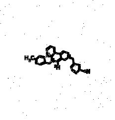 [2H]C1=C2CN(Cc3cccc(C#N)c3)CC=C2c2cccnc2N1Cc1ccc(C)cc1